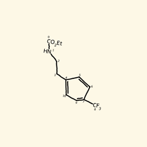 CCOC(=O)NCCc1ccc(C(F)(F)F)cc1